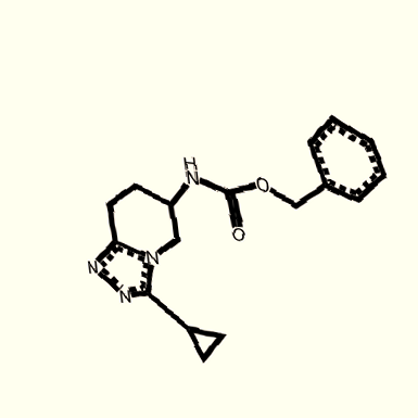 O=C(NC1CCc2nnc(C3CC3)n2C1)OCc1ccccc1